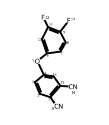 N#Cc1ccc(Oc2ccc(F)c(F)c2)cc1C#N